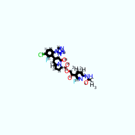 [2H]c1c(NC(C)=O)nc(F)c(C(=O)COC(=O)[C@@H]2CC[C@@H]3CC(c4c(-n5cnnn5)ccc(Cl)c4F)=CC(=O)N32)c1[2H]